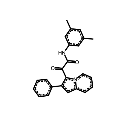 Cc1cc(C)cc(NC(=O)C(=O)c2c(-c3ccccc3)cc3ccccn23)c1